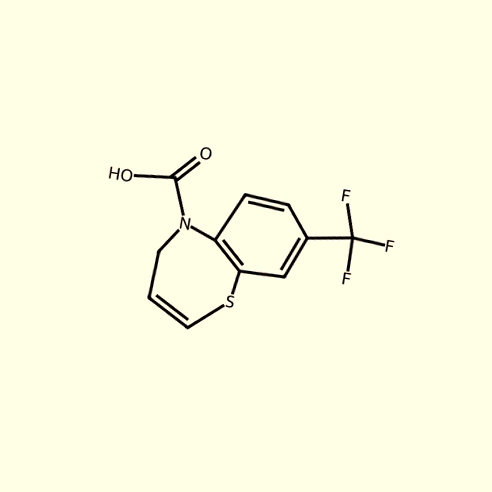 O=C(O)N1CC=CSc2cc(C(F)(F)F)ccc21